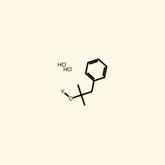 CC(C)(Cc1ccccc1)[O][V].Cl.Cl